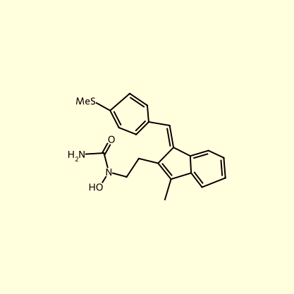 CSc1ccc(/C=C2\C(CCN(O)C(N)=O)=C(C)c3ccccc32)cc1